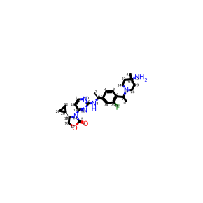 CC(c1ccc([C@H](C)Nc2nccc(N3C(=O)OC[C@@H]3C3CC3)n2)cc1F)N1CCC(C)(N)CC1